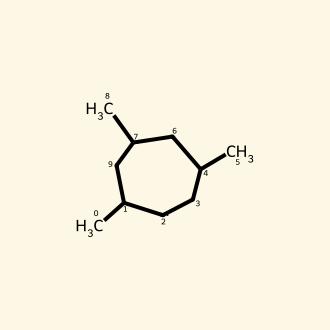 CC1[CH]CC(C)CC(C)C1